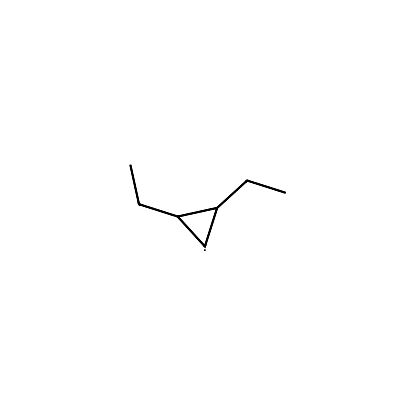 CCC1[CH]C1CC